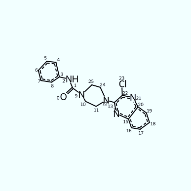 O=C(Nc1ccccc1)N1CCN(c2nc3ccccc3nc2Cl)CC1